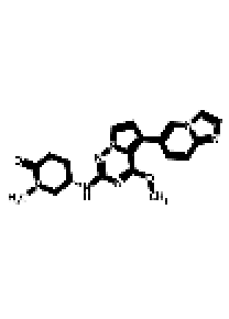 COc1nc(N[C@H]2CCC(=O)N(C)C2)nn2ccc(-c3ccc4nccn4c3)c12